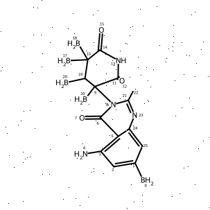 Bc1cc(N)c2c(=O)n(C3(B)C(=O)NC(=O)C(B)(B)C3B)c(C)nc2c1